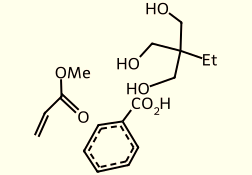 C=CC(=O)OC.CCC(CO)(CO)CO.O=C(O)c1ccccc1